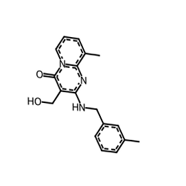 Cc1cccc(CNc2nc3c(C)cccn3c(=O)c2CO)c1